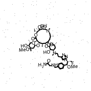 CO[C@H](c1ccc(CNCC(N)=O)cc1)[C@@H](CF)n1cc(CCN(C)[C@H]2C[C@@H](C)O[C@@H](O[C@@H]3[C@@H](C)[C@H](O[C@H]4C[C@@](C)(OC)[C@@H](O)[C@H](C)O4)[C@@H](C)C(=O)O[C@H](I)[C@@](C)(O)[C@H](O)[C@@H](C)N(C)C[C@H](C)C[C@@]3(C)O)[C@@H]2O)nn1